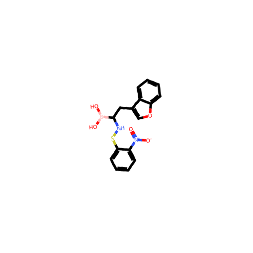 O=[N+]([O-])c1ccccc1SNC(Cc1coc2ccccc12)B(O)O